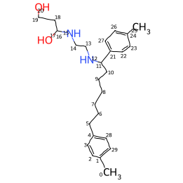 Cc1ccc(CCCCCCC(NCCNC(O)CCO)c2ccc(C)cc2)cc1